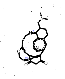 CN(C)CC1CCc2cc3c4cncc-4cc2/C1=N\CC/C1=C/C2C(=O)CC(=O)C3=C2/N=C\CO1